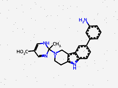 CC1(N2CCc3[nH]c4ccc(-c5cccc(N)c5)cc4c3C2)N=CC(C(=O)O)=CN1